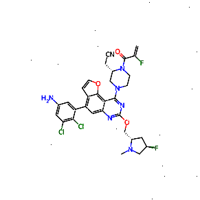 C=C(F)C(=O)N1CCN(c2nc(OC[C@@H]3C[C@@H](F)CN3C)nc3cc(-c4cc(N)cc(Cl)c4Cl)c4ccoc4c23)C[C@@H]1CC#N